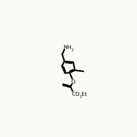 C=C(Oc1ccc(CN)cc1C)C(=O)OCC